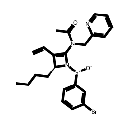 C=CC1=C(N(Cc2ccccn2)C(C)=O)N([S+]([O-])c2cccc(Br)c2)[C@H]1CCCC